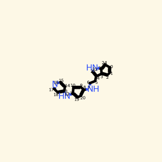 c1ccc2c(CCNc3ccc(Nc4ccncc4)cc3)c[nH]c2c1